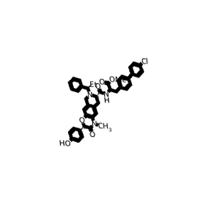 CC[C@@H](c1ccccc1)N1Cc2cc3c(cc2C[C@H]1C(=O)NC(Cc1ccc(-c2ccc(Cl)cc2)cc1)C(=O)OC)N(C)C(=O)[C@H](c1ccc(O)cc1)O3